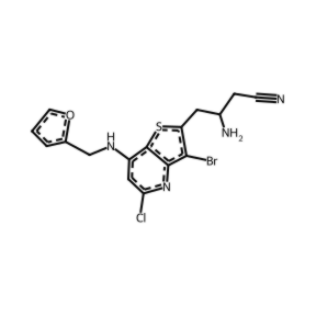 N#CCC(N)Cc1sc2c(NCc3ccco3)cc(Cl)nc2c1Br